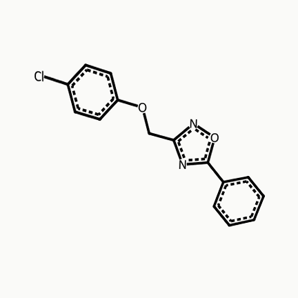 Clc1ccc(OCc2noc(-c3ccccc3)n2)cc1